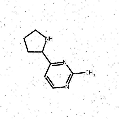 Cc1nccc(C2CCCN2)n1